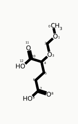 COCOC(CCC(=O)O)C(=O)O